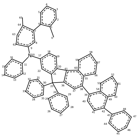 Cc1ccccc1-c1cc(N(c2ccccc2)c2ccc3c(c2)C(c2ccccc2)(c2ccccc2)c2cc(-c4ccc(-c5ccccc5)c5ccccc45)c4ccccc4c2-3)ccc1C